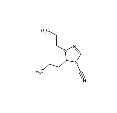 CCCC1N(C#N)C=NN1CCC